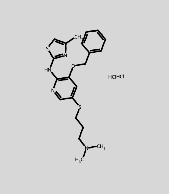 Cc1csc(Nc2ncc(SCCCN(C)C)cc2OCc2ccccc2)n1.Cl.Cl